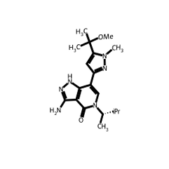 COC(C)(C)c1cc(-c2cn([C@@H](C)C(C)C)c(=O)c3c(N)n[nH]c23)nn1C